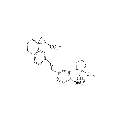 COc1ccc(COc2ccc3c(c2)[C@]2(CCC3)C[C@H]2C(=O)O)cc1[C@@H]1CCCC1(C)C